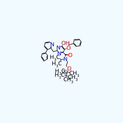 CC(C)N(CCO[Si](C)(C)C(C)(C)C)C(=O)c1nc(Cc2ncccc2-c2ccccc2)nc(O)c1OCc1ccccc1